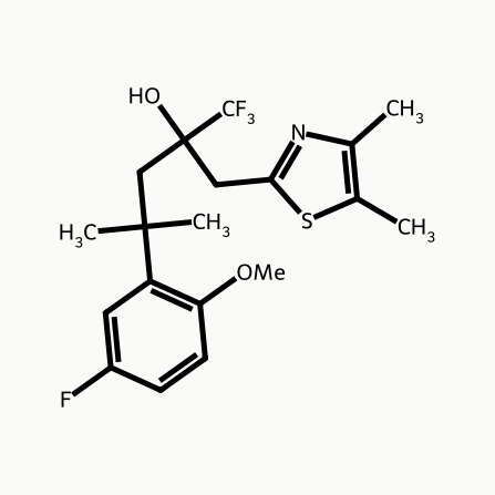 COc1ccc(F)cc1C(C)(C)CC(O)(Cc1nc(C)c(C)s1)C(F)(F)F